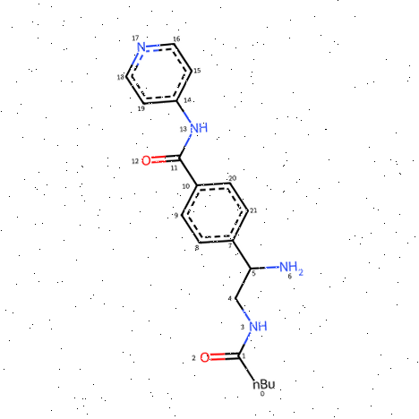 CCCCC(=O)NCC(N)c1ccc(C(=O)Nc2ccncc2)cc1